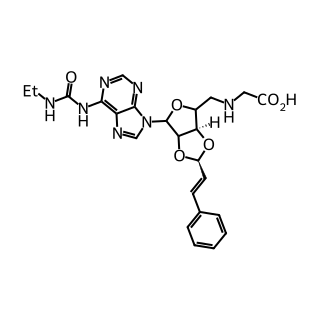 CCNC(=O)Nc1ncnc2c1ncn2C1OC(CNCC(=O)O)[C@H]2O[C@@H](C=Cc3ccccc3)OC12